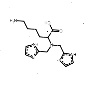 NCCCCC(C(=O)O)N(Cc1ncc[nH]1)Cc1ncc[nH]1